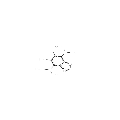 COB(OC)c1c(C(F)(F)F)c(C(F)(F)F)c(B(OC)OC)c2nonc12